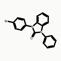 O=c1n(-c2ccccc2)c2ccccc2n1-c1ccc(Br)cc1